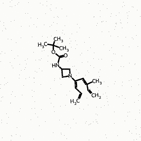 C=C/C=C(\C=C(\C)C=C)N1CC(NC(=O)OC(C)(C)C)C1